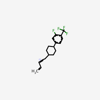 C=C/C=C\CC1CCC(c2ccc(C(F)(F)F)c(F)c2)CC1